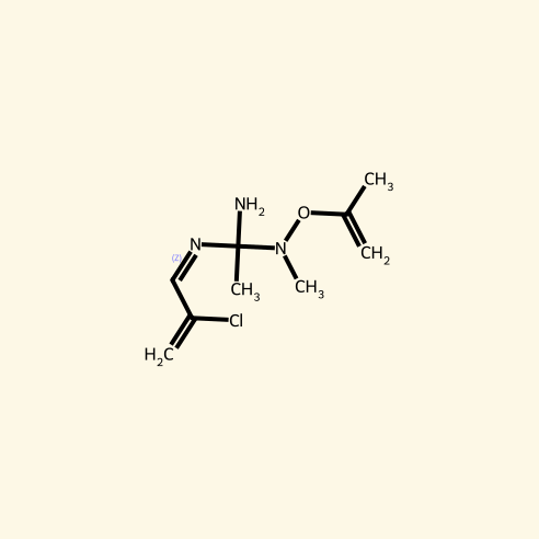 C=C(Cl)/C=N\C(C)(N)N(C)OC(=C)C